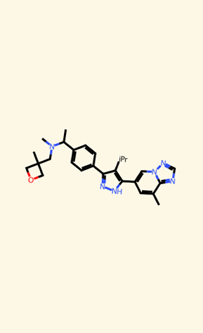 Cc1cc(-c2[nH]nc(-c3ccc(C(C)N(C)CC4(C)COC4)cc3)c2C(C)C)cn2ncnc12